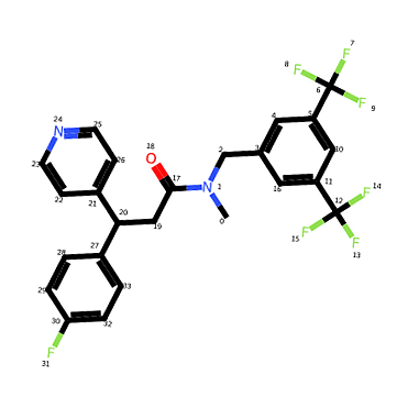 CN(Cc1cc(C(F)(F)F)cc(C(F)(F)F)c1)C(=O)CC(c1ccncc1)c1ccc(F)cc1